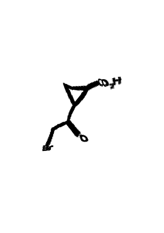 O=C(O)C1CC1C(=O)CBr